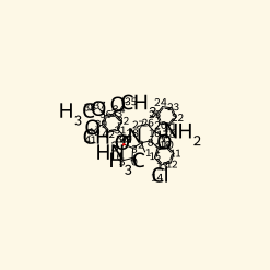 CCC1(C2CCNC2)C(c2cccc(Cl)c2)C(C(N)=O)(c2ccccc2)CCN1C(=O)c1cc(OC)c(OC)c(OC)c1